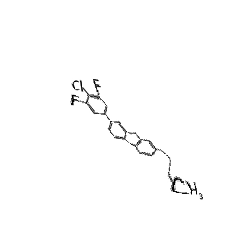 CCCc1ccc2c(c1)Cc1cc(-c3cc(F)c(Cl)c(F)c3)ccc1-2